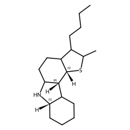 CCCCC1C(C)S[C@H]2C1CCC1N[C@H]3CCCCC3[C@H]12